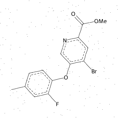 COC(=O)c1cc(Br)c(Oc2ccc(C)cc2F)cn1